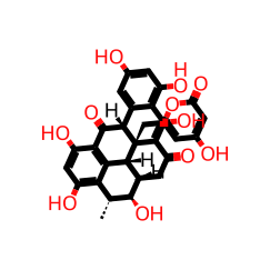 C[C@@H]1c2c(O)cc(O)c3c2[C@H]2[C@H](CC(=O)C4=C(O)c5c(O)cc(O)cc5[C@@H](C3=O)[C@]42Cc2cc(O)cc(=O)o2)[C@H]1O